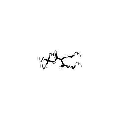 CCOC(C(=O)OC(C)(C)C)[C](=O)[Mg][CH2]C